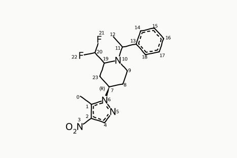 Cc1c([N+](=O)[O-])cnn1[C@@H]1CCN(C(C)c2ccccc2)C(C(F)F)C1